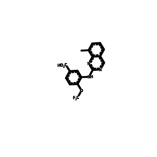 Cc1cccc2cnc(Nc3cc(C(=O)O)ccc3OC(F)(F)F)nc12